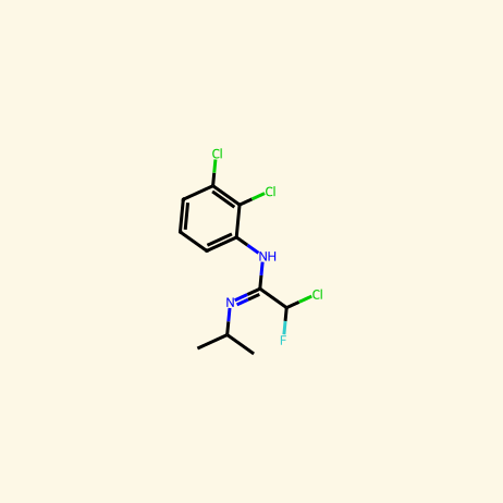 CC(C)N=C(Nc1cccc(Cl)c1Cl)C(F)Cl